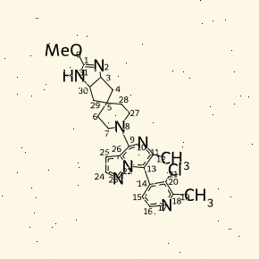 COC1=NC2CC3(CCN(c4nc(C)c(-c5ccnc(C)c5Cl)n5nccc45)CC3)CC2N1